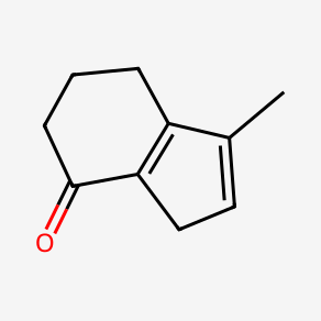 CC1=CCC2=C1CCCC2=O